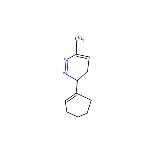 CC1=CCC(C2=CCCCC2)N=N1